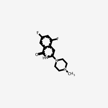 CN1CCN(c2cc3c(F)cc(F)cc3c(=O)[nH]2)CC1